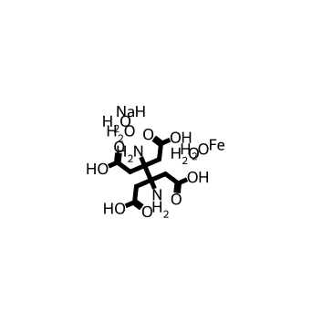 NC(CC(=O)O)(CC(=O)O)C(N)(CC(=O)O)CC(=O)O.O.O.O.O.[Fe].[NaH]